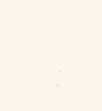 CC1(C)OB(c2cccc(-c3cccc(-c4cnc(-c5ccccc5)nc4-c4ccccc4)c3)c2)OC1(C)C